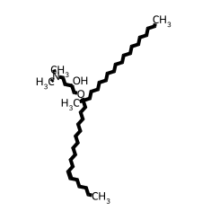 CCCCC/C=C\CCCCCCCCCCCC(C)(CCCCCCCCCCCCCCCCCC)OCC(O)CCN(C)C